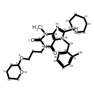 Cn1c(=O)n(CCCOC2CCCCO2)c(=O)c2c1nc(N1CCCCCN1)n2Cc1ccccc1I